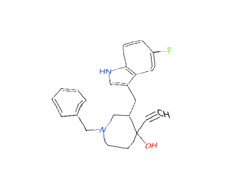 C#CC1(O)CCN(Cc2ccccc2)CC1Cc1c[nH]c2ccc(F)cc12